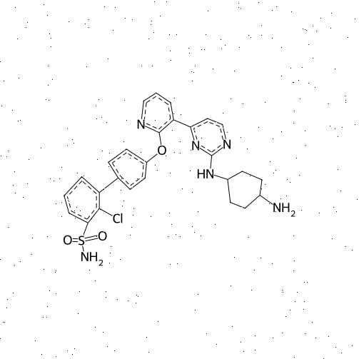 NC1CCC(Nc2nccc(-c3cccnc3Oc3ccc(-c4cccc(S(N)(=O)=O)c4Cl)cc3)n2)CC1